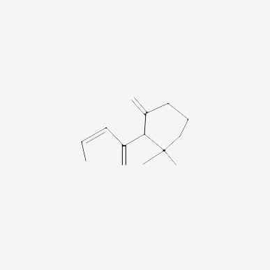 C=C1CCCC(C)(C)C1C(=O)/C=C\C